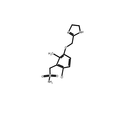 Cc1c(OCC2=NCCN2)ccc(Cl)c1CS(N)(=O)=O